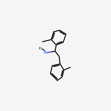 [CH2]c1ccccc1CC(NCC)c1ccccc1[CH2]